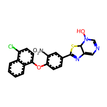 O=[N+]([O-])c1cc(C2=NC3=CN=CN(O)C3S2)ccc1Oc1ccc(Cl)c2ccccc12